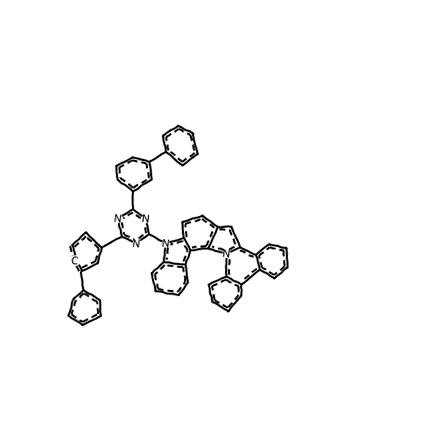 c1ccc(-c2cccc(-c3nc(-c4cccc(-c5ccccc5)c4)nc(-n4c5ccccc5c5c4ccc4cc6c7ccccc7c7ccccc7n6c45)n3)c2)cc1